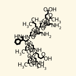 CNC(=O)CN(C[C@H](CCCC(=O)O)NC(=O)CN(C[C@H](Cc1c[nH]c2ccccc12)NC(=O)CN(C[C@H](CC(C)C)NC(=O)CN(C[C@H](CCC(=O)O)NC(C)=O)S(=O)(=O)CCN)S(=O)(=O)CCN)S(=O)(=O)CC(C)C)S(=O)(=O)CC(C)C